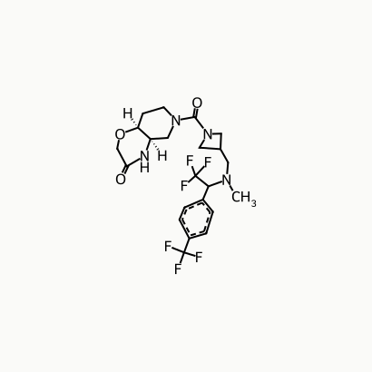 CN(CC1CN(C(=O)N2CC[C@@H]3OCC(=O)N[C@@H]3C2)C1)C(c1ccc(C(F)(F)F)cc1)C(F)(F)F